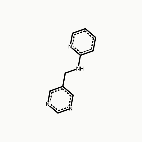 c1ccc(NCc2cncnc2)nc1